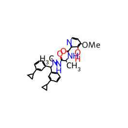 COc1ccnc(C(=O)N[C@@H](C)C(=O)NN(C)C(c2cccc(C3CC3)c2)c2cccc(C3CC3)c2)c1O